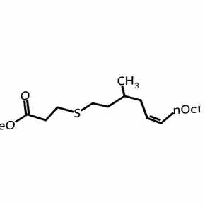 CCCCCCCC/C=C\CC(C)CCSCCC(=O)OC